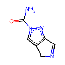 NC(=O)n1cc2c(n1)C=NC2